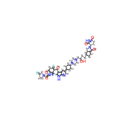 O=C1CC[C@H](N2Cc3cc(CC[C@H](O)CN4CCN(c5ccc(-c6cnc7[nH]cc(C(=O)c8c(F)ccc(NS(=O)(=O)N9CC[C@@H](F)C9)c8F)c7c6)cc5)CC4)ccc3C2=O)C(=O)N1